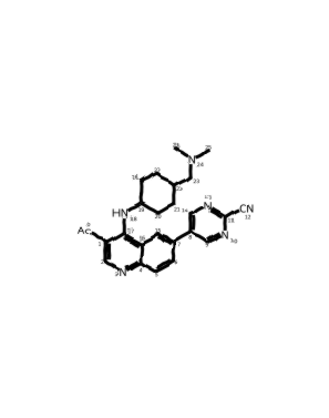 CC(=O)c1cnc2ccc(-c3cnc(C#N)nc3)cc2c1NC1CCC(CN(C)C)CC1